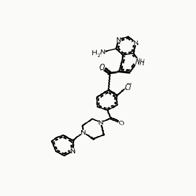 Nc1ncnc2[nH]cc(C(=O)c3ccc(C(=O)N4CCN(c5ccccn5)CC4)cc3Cl)c12